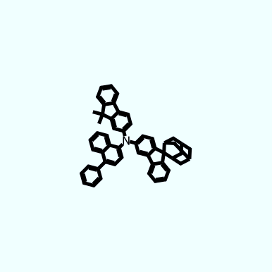 CC1(C)c2ccccc2-c2ccc(N(c3ccc4c(c3)-c3ccccc3C43C4CC5CC(C4)CC3C5)c3ccc(-c4ccccc4)c4ccccc34)cc21